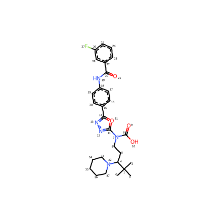 CC(C)(C)C(CCN(C(=O)O)c1nnc(-c2ccc(NC(=O)c3cccc(F)c3)cc2)o1)N1CCCCC1